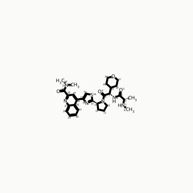 CN[C@@H](C)C(=O)N[C@H](C(=O)N1CCC[C@H]1c1nc(-c2cc(C(=O)N(C)C)nc3ccccc23)cs1)C1CCOCC1